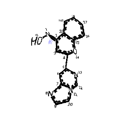 O/N=c1\cc(-c2cc3nccn3cn2)oc2ccccc12